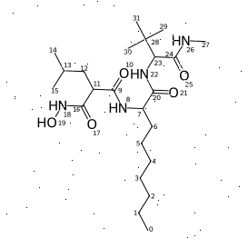 CCCCCCCC(NC(=O)C(CC(C)C)C(=O)NO)C(=O)NC(C(=O)NC)C(C)(C)C